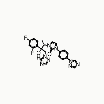 C[C@@H](n1ccn(-c2ccc(-n3cncn3)cc2)c1=O)[C@](O)(Cn1cncn1)c1ccc(F)cc1F